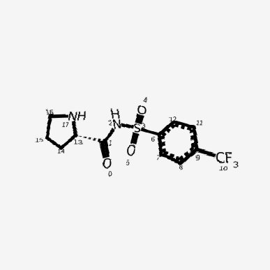 O=C(NS(=O)(=O)c1ccc(C(F)(F)F)cc1)[C@@H]1CCCN1